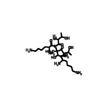 CC(O)C(N)C(=O)N(C(=O)C(N)CCCCN)C(C(=O)O)(C(=O)C(N)C(C)O)C(O)C(=O)C(N)CCCCN